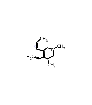 C=CC1=C(/C=C\C)CN(C)CC1C